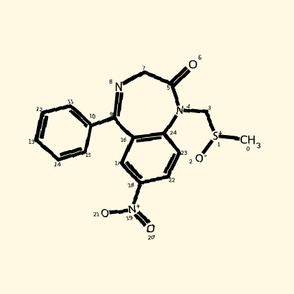 C[S+]([O-])CN1C(=O)CN=C(c2ccccc2)c2cc([N+](=O)[O-])ccc21